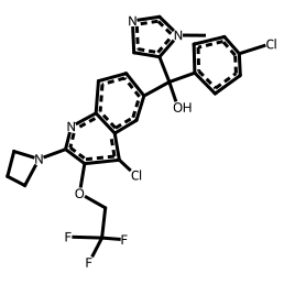 Cn1cncc1C(O)(c1ccc(Cl)cc1)c1ccc2nc(N3CCC3)c(OCC(F)(F)F)c(Cl)c2c1